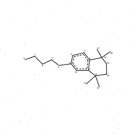 CCCCCc1ccc2c(c1)C(C)(C)CCC2(C)C